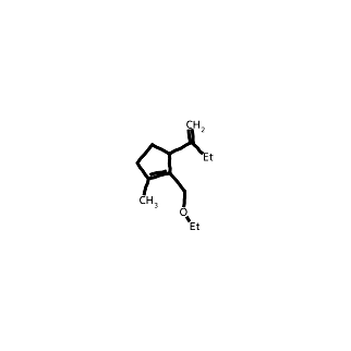 C=C(CC)C1CCC(C)=C1COCC